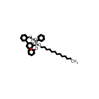 CCCCCCCCCCCCCO[PH](Oc1ccccc1)(Oc1ccccc1)c1cccc2c1[PH](=O)Oc1ccccc1-2